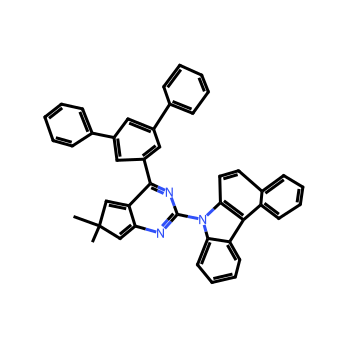 CC1(C)C=c2nc(-n3c4ccccc4c4c5ccccc5ccc43)nc(-c3cc(-c4ccccc4)cc(-c4ccccc4)c3)c2=C1